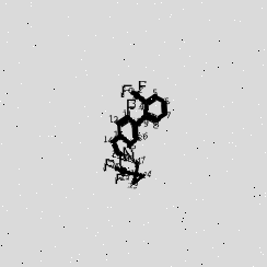 FC(F)(F)c1ccccc1-c1ccc2ccn(CC3(C(F)(F)F)CC3)c2c1